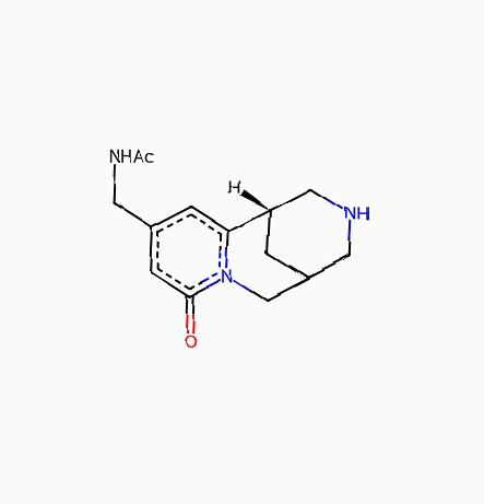 CC(=O)NCc1cc2n(c(=O)c1)CC1CNC[C@@H]2C1